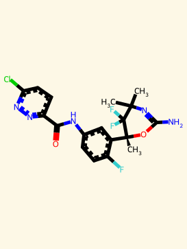 CC1(C)N=C(N)O[C@](C)(c2cc(NC(=O)c3ccc(Cl)nn3)ccc2F)C1(F)F